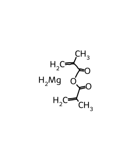 C=C(C)C(=O)OC(=O)C(=C)C.[MgH2]